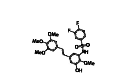 COc1cc(C=Cc2cc(O)c(OC)c(NS(=O)(=O)c3ccc(F)c(F)c3)c2)cc(OC)c1OC